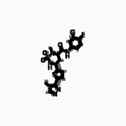 CN1C(C(=O)Nc2ccc(F)c(Cl)c2)CC(c2ccc(-c3nncn3C)s2)NS1(=O)=O